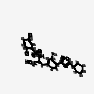 O=C(O)C(Cc1ccc(-c2noc(C3CCCCC3)n2)c(F)c1)NS(=O)(=O)c1cc(Cl)ccc1Cl